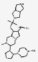 CN1CC2C(CC(C)(C)N3CC4CNCC4C3)C(NC(C)(C)C)CN2CC1C1CCCC1N1CCN(C(C)(C)C)CC1